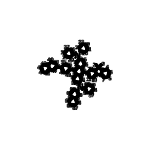 CC1(C)c2ccccc2-c2ccc(-c3c4ccc(N(c5ccccc5)c5ccccc5)cc4c(-c4ccc(-c5ccc6ccccc6c5)cc4)c4ccc(N(c5ccccc5)c5ccc6ccccc6c5)cc34)cc21